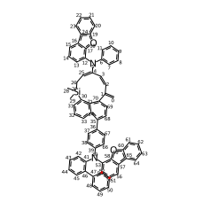 C=C1/C=C\C(N(c2ccccc2)c2cccc3c2oc2ccccc23)=C/C[Si](C)(C)c2cccc3c(-c4ccc(N(c5ccccc5-c5ccccc5)c5cccc6c5oc5ccccc56)cc4)ccc1c23